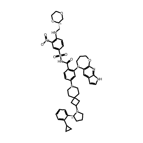 O=C(NS(=O)(=O)c1ccc(NC[C@H]2COCCO2)c([N+](=O)[O-])c1)c1ccc(N2CCC3(CC2)CC(N2CCC[C@H]2c2ccccc2C2CC2)C3)cc1N1CCCOc2nc3[nH]ccc3cc21